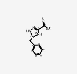 CCC(=O)C1=NNN(Cc2ccccc2)N1